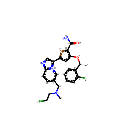 C[C@@H](Oc1cc(-c2cnc3ccc(CN(C)CCF)cn23)sc1C(N)=O)c1ccccc1Cl